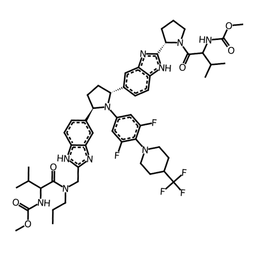 CCCN(Cc1nc2cc([C@H]3CC[C@H](c4ccc5[nH]c([C@@H]6CCCN6C(=O)C(NC(=O)OC)C(C)C)nc5c4)N3c3cc(F)c(N4CCC(C(F)(F)F)CC4)c(F)c3)ccc2[nH]1)C(=O)C(NC(=O)OC)C(C)C